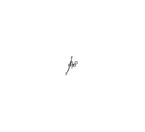 O.O.[F][Fe][F]